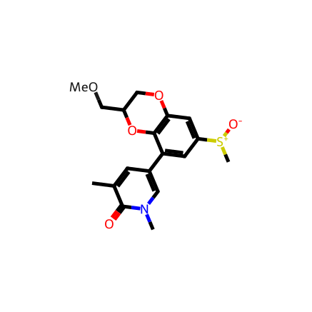 COCC1COc2cc([S+](C)[O-])cc(-c3cc(C)c(=O)n(C)c3)c2O1